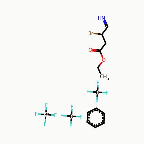 CCOC(=O)CC(Br)C=N.F[B-](F)(F)F.F[B-](F)(F)F.F[B-](F)(F)F.c1ccccc1